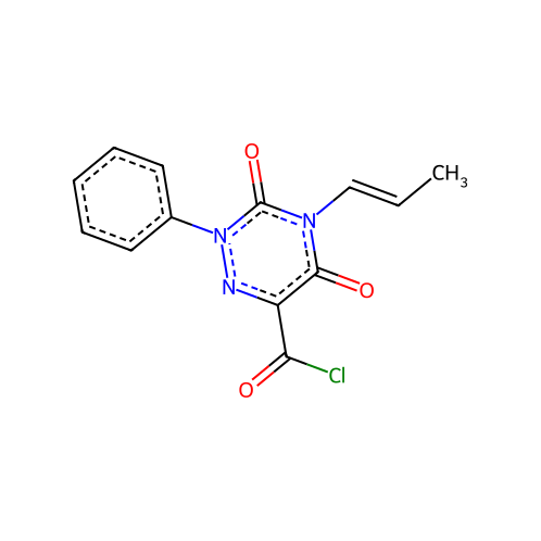 CC=Cn1c(=O)c(C(=O)Cl)nn(-c2ccccc2)c1=O